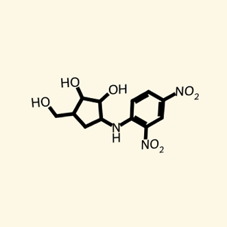 O=[N+]([O-])c1ccc(NC2CC(CO)C(O)C2O)c([N+](=O)[O-])c1